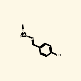 CS1=PN1N=Cc1ccc(O)cc1